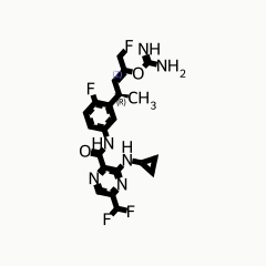 C[C@H](/C=C(/CF)OC(=N)N)c1cc(NC(=O)c2ncc(C(F)F)nc2NC2CC2)ccc1F